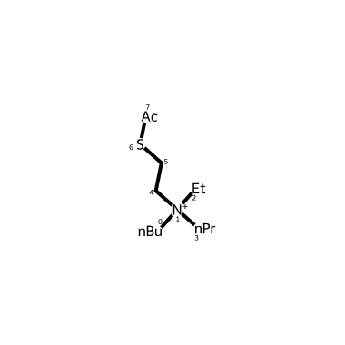 CCCC[N+](CC)(CCC)CCSC(C)=O